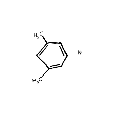 Cc1cccc(C)c1.[N]